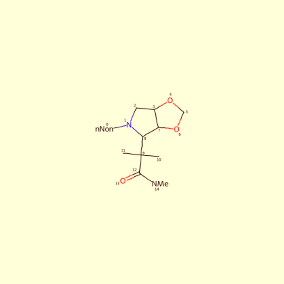 CCCCCCCCCN1CC2OCOC2C1C(C)(C)C(=O)NC